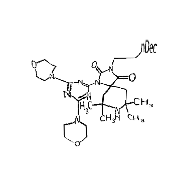 CCCCCCCCCCCCN1C(=O)N(c2nc(N3CCOCC3)nc(N3CCOCC3)n2)C2(CC(C)(C)NC(C)(C)C2)C1=O